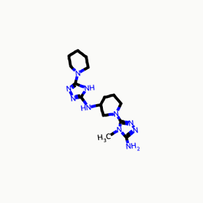 Cn1c(N)nnc1N1CCCC(Nc2nnc(N3CCCCC3)[nH]2)C1